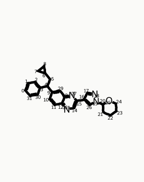 c1ccc(C(CC2CC2)c2ccc3ncc(-c4cnn(C5CCCCO5)c4)nc3c2)cc1